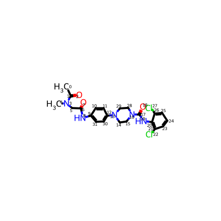 CC(=O)N(C)CC(=O)Nc1ccc(N2CCN(C(=O)Nc3c(Cl)cccc3Cl)CC2)cc1